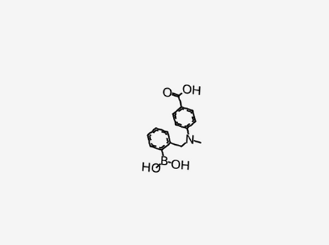 CN(Cc1ccccc1B(O)O)c1ccc(C(=O)O)cc1